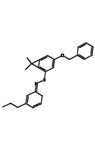 CCCC1=CC(=NSc2cc(OCc3ccccc3)cc3c2C3(C)C)CC=C1